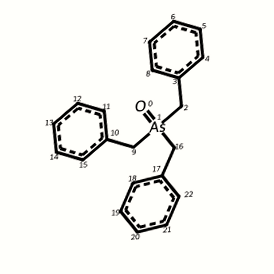 O=[As](Cc1ccccc1)(Cc1ccccc1)Cc1ccccc1